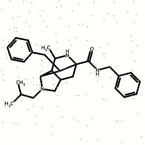 CC(C)CN1CC2CC3(C(=O)NCc4ccccc4)NC(C)C2C1C3Cc1ccccc1